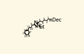 CCCCCCCCCCCCCCCc1nc(CCCc2ccccc2)cn1CC